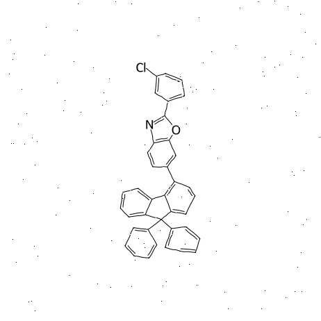 Clc1cccc(-c2nc3ccc(-c4cccc5c4-c4ccccc4C5(c4ccccc4)c4ccccc4)cc3o2)c1